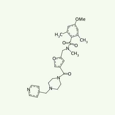 COc1cc(C)c(S(=O)(=O)N(C)Cc2cc(C(=O)N3CCN(Cc4ccncc4)CC3)co2)c(C)c1